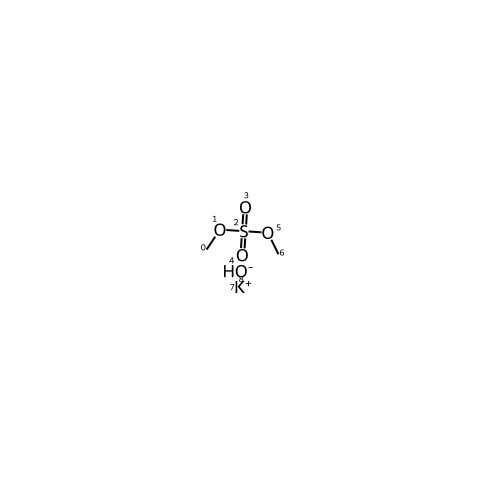 COS(=O)(=O)OC.[K+].[OH-]